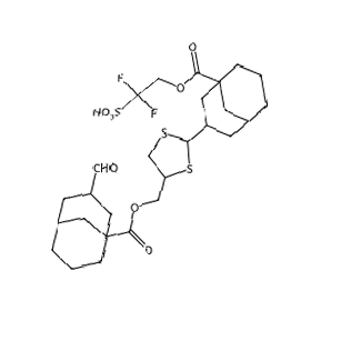 O=CC1CC2CCCC(C(=O)OCC3CSC(C4CC5CCCC(C(=O)OCC(F)(F)S(=O)(=O)O)(C5)C4)S3)(C1)C2